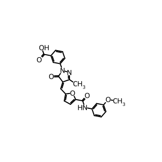 COc1cccc(NC(=O)c2ccc(C=C3C(=O)N(c4cccc(C(=O)O)c4)N=C3C)o2)c1